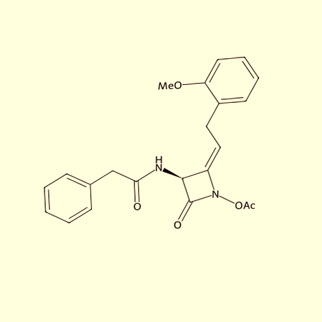 COc1ccccc1CC=C1[C@H](NC(=O)Cc2ccccc2)C(=O)N1OC(C)=O